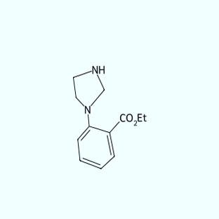 CCOC(=O)c1ccccc1N1CCNC1